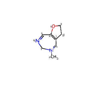 C[N+]1=CC2=C(C=NC1)OCC2